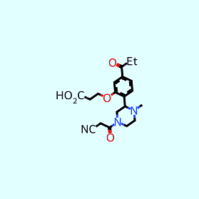 CCC(=O)c1ccc(C2CN(C(=O)CC#N)CCN2C)c(OCCC(=O)O)c1